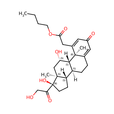 CCCCOC(=O)CC1=CC(=O)C=C2CC[C@@H]3[C@H]([C@@H](O)C[C@@]4(C)[C@H]3CC[C@]4(O)C(=O)CO)[C@]21C